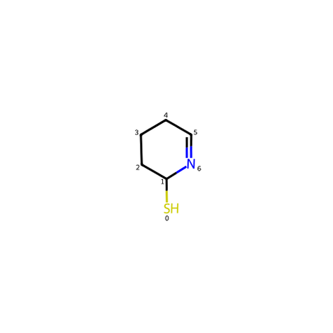 SC1CCCC=N1